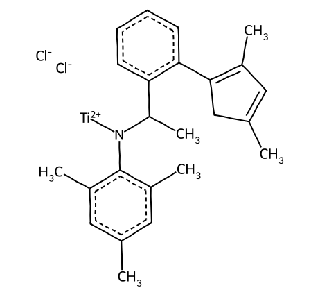 CC1=CC(C)=C(c2ccccc2C(C)[N]([Ti+2])c2c(C)cc(C)cc2C)C1.[Cl-].[Cl-]